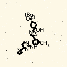 Cc1cc(Nc2nccc(-c3cccs3)n2)cc(-c2cnc([C@]3(O)CC[C@H](C(=O)OC(C)(C)C)CC3)s2)c1